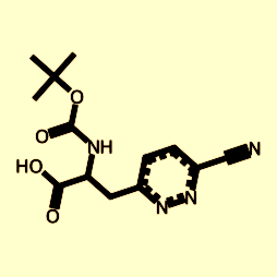 CC(C)(C)OC(=O)NC(Cc1ccc(C#N)nn1)C(=O)O